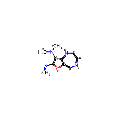 C=Nc1oc2c(c1N(C)C)=NC=C=NC=2